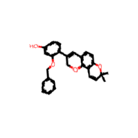 CC1(C)C=Cc2c(ccc3c2OCC(c2ccc(O)cc2OCc2ccccc2)=C3)O1